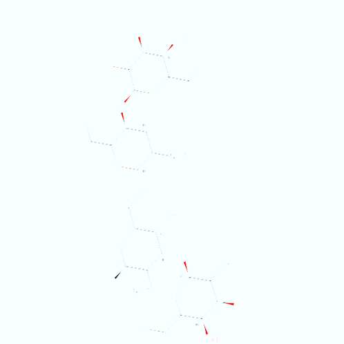 CC(=O)NC1[C@H](OCC2O[C@H](C)C(NC(C)=O)[C@@H](O[C@@H]3OC(CO)[C@H](O)[C@H](O)C3O)[C@H]2O)OC(CO)[C@@H](O[C@@H]2OC(CO)[C@H](O)[C@H](O)C2O)[C@@H]1O